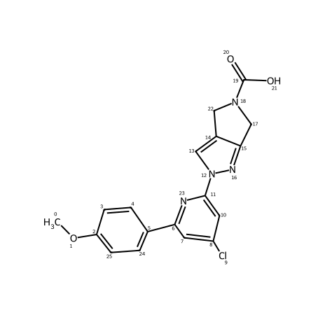 COc1ccc(-c2cc(Cl)cc(-n3cc4c(n3)CN(C(=O)O)C4)n2)cc1